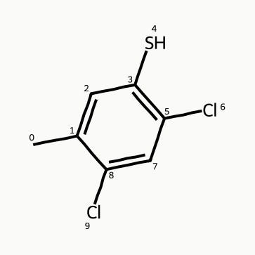 Cc1cc(S)c(Cl)cc1Cl